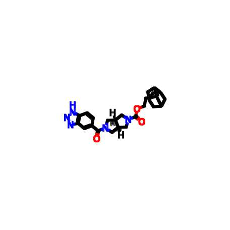 O=C(OCCC1=C2CC3CC1CC2C3)N1C[C@@H]2CN(C(=O)c3ccc4[nH]nnc4c3)C[C@@H]2C1